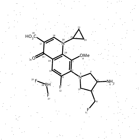 COc1c(N2CC(N)C(CF)C2)c(F)cc2c(=O)c(C(=O)O)cn(C3CC3)c12.FBF